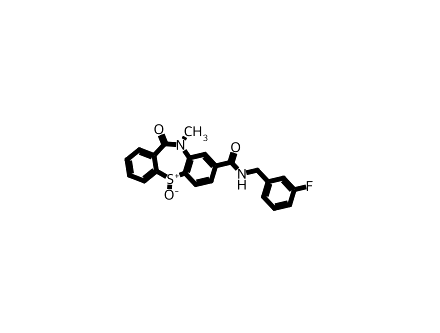 CN1C(=O)c2ccccc2[S+]([O-])c2ccc(C(=O)NCc3cccc(F)c3)cc21